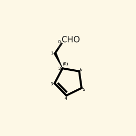 O=CC[C@@H]1C=CCC1